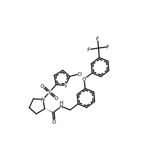 O=C(NCc1cccc(Oc2cccc(C(F)(F)F)c2)c1)[C@@H]1CCCN1S(=O)(=O)c1ccc(Cl)s1